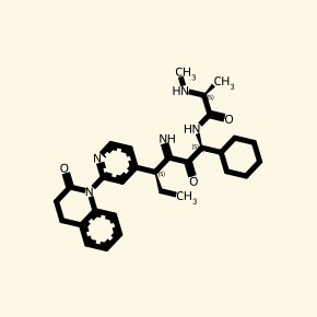 CC[C@H](C(=N)C(=O)[C@@H](NC(=O)[C@H](C)NC)C1CCCCC1)c1ccnc(N2C(=O)CCc3ccccc32)c1